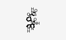 O=C1N[C@H](C(=O)N2CCC[C@@H](n3c(=O)[nH]c4cnc5[nH]ccc5c43)C2)CS1